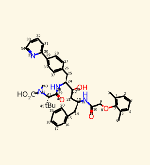 Cc1cccc(C)c1OCC(=O)N[C@@H](Cc1ccccc1)C[C@H](O)[C@H](Cc1ccc(-c2ccccn2)cc1)NC(=O)[C@@H](N(C)C(=O)O)C(C)(C)C